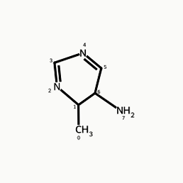 CC1N=CN=CC1N